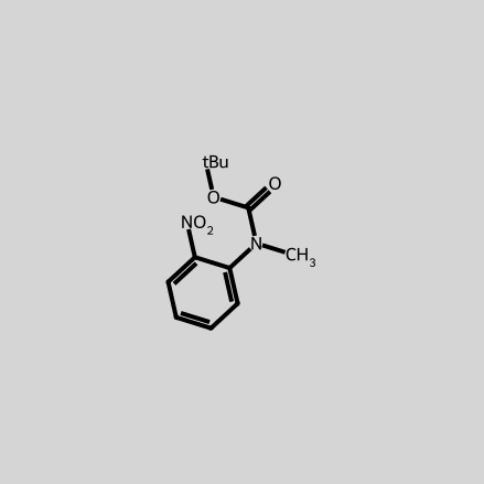 CN(C(=O)OC(C)(C)C)c1ccccc1[N+](=O)[O-]